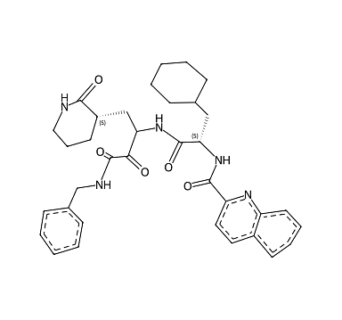 O=C(NCc1ccccc1)C(=O)C(C[C@@H]1CCCNC1=O)NC(=O)[C@H](CC1CCCCC1)NC(=O)c1ccc2ccccc2n1